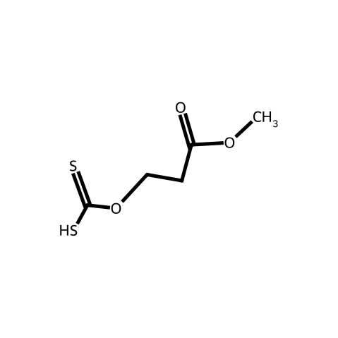 COC(=O)CCOC(=S)S